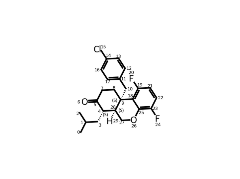 CC(C)C[C@@H]1C(=O)CC[C@@]2(Cc3ccc(Cl)cc3)c3c(F)ccc(F)c3OC[C@@H]12